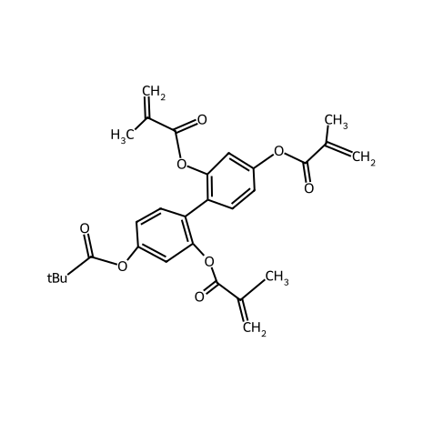 C=C(C)C(=O)Oc1ccc(-c2ccc(OC(=O)C(C)(C)C)cc2OC(=O)C(=C)C)c(OC(=O)C(=C)C)c1